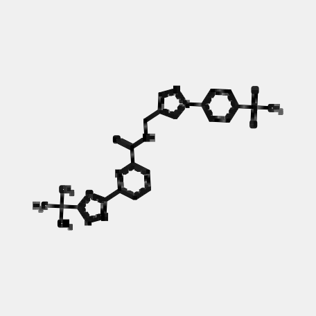 CC(C)(C)c1nnc(-c2cccc(C(=O)NCc3cnn(-c4ccc(S(C)(=O)=O)cc4)c3)n2)o1